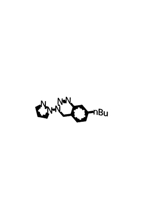 CCCCc1ccc2c(c1)N=NN(n1cccn1)C2